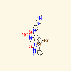 CN1CCN(C2CCN(C(=O)C(Cc3cc(Br)cc(Br)c3)[C@H]3CC(N4CCc5ccccc5NC4=O)CCN3C(=O)O)CC2)CC1